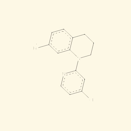 Cc1ccnc(N2CCCc3ccc(Br)cc32)c1